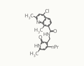 CCCc1cc(C)[nH]c(=O)c1CNC(=O)c1ccc2c(Cl)cc(C)nc2c1C